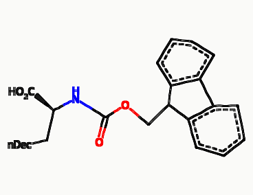 CCCCCCCCCCC[C@H](NC(=O)OCC1c2ccccc2-c2ccccc21)C(=O)O